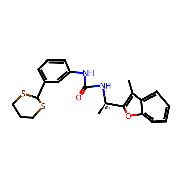 Cc1c([C@@H](C)NC(=O)Nc2cccc(C3SCCCS3)c2)oc2ccccc12